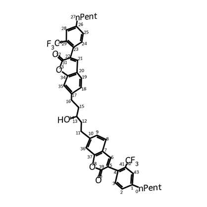 CCCCCc1ccc(-c2cc3ccc(CCC(O)CCc4ccc5cc(-c6ccc(CCCCC)cc6C(F)(F)F)c(=O)oc5c4)cc3oc2=O)c(C(F)(F)F)c1